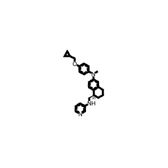 CN(c1ccc(OCC2CC2)cc1)c1ccc2c(c1)CCC[C@H]2CNc1cccnc1